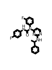 CC(Nc1nccc(N(C(=O)Nc2ccc(F)cc2)c2cccc(F)c2)n1)c1ccccc1